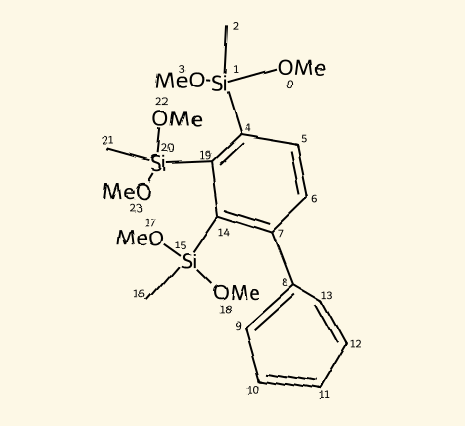 CO[Si](C)(OC)c1ccc(-c2ccccc2)c([Si](C)(OC)OC)c1[Si](C)(OC)OC